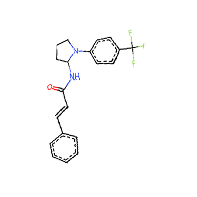 O=C(/C=C/c1ccccc1)NC1CCCN1c1ccc(C(F)(F)F)cc1